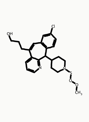 COOSN1CCC(C2c3ccc(Cl)cc3C=C(CCCO)c3cccnc32)CC1